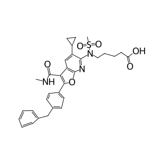 CNC(=O)c1c(-c2ccc(Cc3ccccc3)cc2)oc2nc(N(CCCCC(=O)O)S(C)(=O)=O)c(C3CC3)cc12